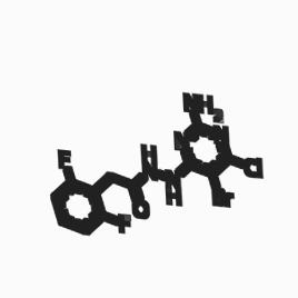 Nc1nc(Cl)c(Br)c(NNC(=O)Cc2c(F)cccc2F)n1